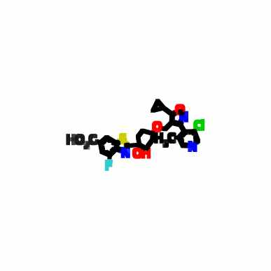 Cc1cncc(Cl)c1-c1noc(C2CC2)c1CO[C@H]1CC[C@](O)(c2nc3c(F)cc(C(=O)O)cc3s2)CC1